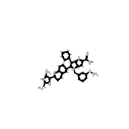 COc1cccc(Cn2c(-c3ccc4nc(-c5oc(C)nc5C)ccc4c3)c(-c3ccccc3)c3sc(C(=O)O)cc32)c1